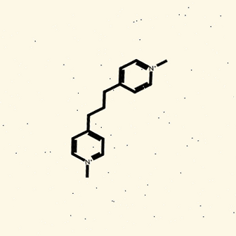 C[n+]1ccc(CCCc2cc[n+](C)cc2)cc1